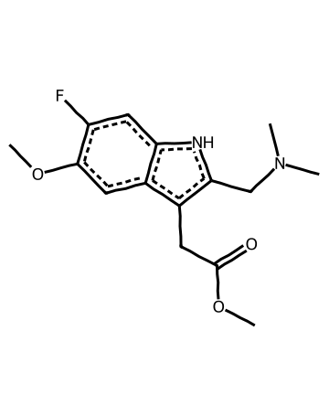 COC(=O)Cc1c(CN(C)C)[nH]c2cc(F)c(OC)cc12